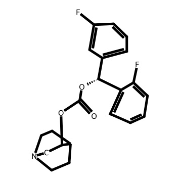 O=C(OC1CN2CCC1CC2)O[C@H](c1cccc(F)c1)c1ccccc1F